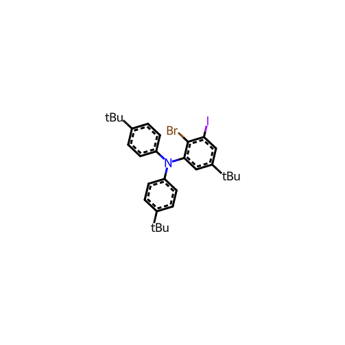 CC(C)(C)c1ccc(N(c2ccc(C(C)(C)C)cc2)c2cc(C(C)(C)C)cc(I)c2Br)cc1